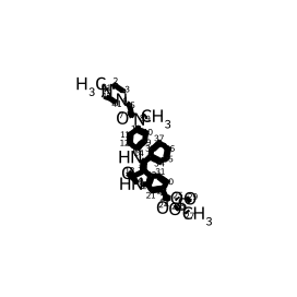 CN1CCN(CC(=O)N(C)c2ccc(N/C(=C3\C(=O)Nc4cc(C(=O)OS(C)(=O)=O)ccc43)c3ccccc3)cc2)CC1